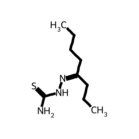 CCCCC(CCC)=NNC(N)=S